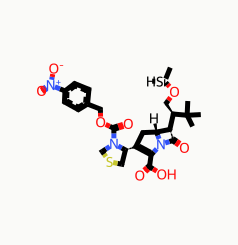 C[SiH](C)OC[C@H]([C@@H]1C(=O)N2C(C(=O)O)=C([C@@H]3CSCN3C(=O)OCc3ccc([N+](=O)[O-])cc3)C[C@H]12)C(C)(C)C